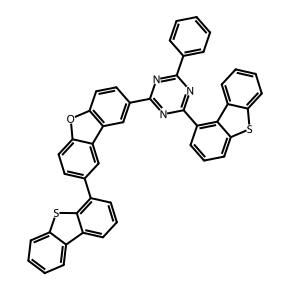 c1ccc(-c2nc(-c3ccc4oc5ccc(-c6cccc7c6sc6ccccc67)cc5c4c3)nc(-c3cccc4sc5ccccc5c34)n2)cc1